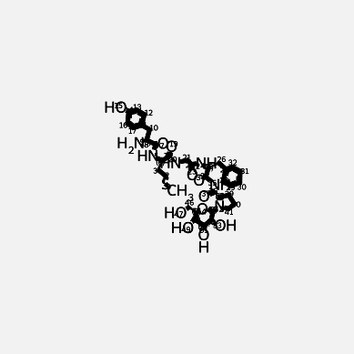 CSCC[C@@H](NC(=O)[C@@H](N)Cc1ccc(O)cc1)C(=O)NCC(=O)N[C@@H](Cc1ccccc1)C(=O)NC(=O)[C@@H]1CCCN1[C@@H]1O[C@H](CO)[C@@H](O)[C@H](O)[C@H]1O